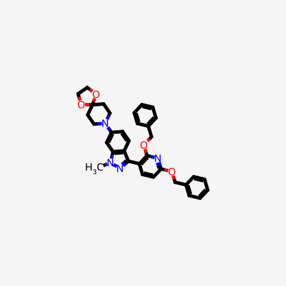 Cn1nc(-c2ccc(OCc3ccccc3)nc2OCc2ccccc2)c2ccc(N3CCC4(CC3)OCCO4)cc21